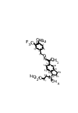 C/C(=N\OCc1ccc(OCC(C)C)c(C(F)(F)F)c1)c1ccc2c(c1)CCC2N(C)CCC(=O)O